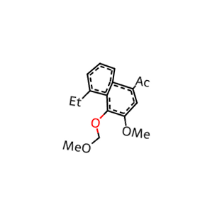 CCc1cccc2c(C(C)=O)cc(OC)c(OCOC)c12